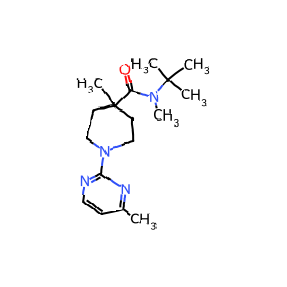 Cc1ccnc(N2CCC(C)(C(=O)N(C)C(C)(C)C)CC2)n1